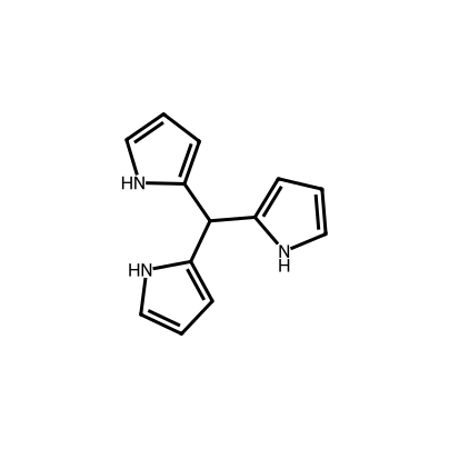 c1c[nH]c(C(c2ccc[nH]2)c2ccc[nH]2)c1